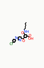 CCCCCCNC(=O)c1cc(C(=O)O)cc(C(=O)c2ccc(N(C)c3ccc(Cl)cc3)cn2)c1